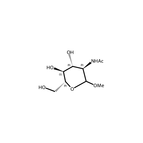 COC1O[C@H](CO)[C@@H](O)[C@H](O)[C@H]1NC(C)=O